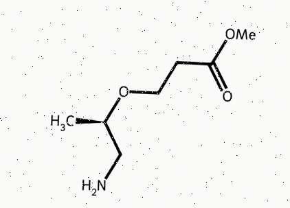 COC(=O)CCO[C@H](C)CN